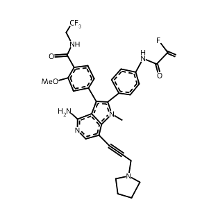 C=C(F)C(=O)Nc1ccc(-c2c(-c3ccc(C(=O)NCC(F)(F)F)c(OC)c3)c3c(N)ncc(C#CCN4CCCC4)c3n2C)cc1